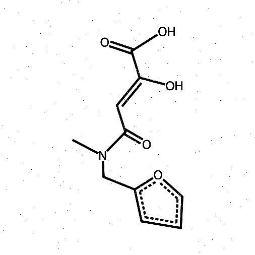 CN(Cc1ccco1)C(=O)C=C(O)C(=O)O